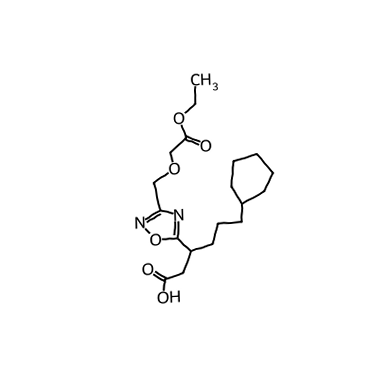 CCOC(=O)COCc1noc(C(CCCC2CCCCC2)CC(=O)O)n1